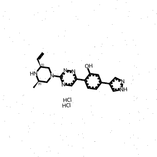 C=C[C@H]1CN(c2ncc(-c3ccc(-c4cn[nH]c4)cc3O)nn2)C[C@@H](C)N1.Cl.Cl